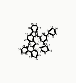 c1ccc(-c2cc(-c3ccccc3)nc(-n3c4ccccc4c4ccc5c(cc6c7ccccc7c7ccccc7n65)c43)c2)cc1